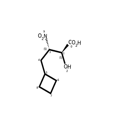 O=C(O)[C@@H](O)[C@H](CC1CCC1)[N+](=O)[O-]